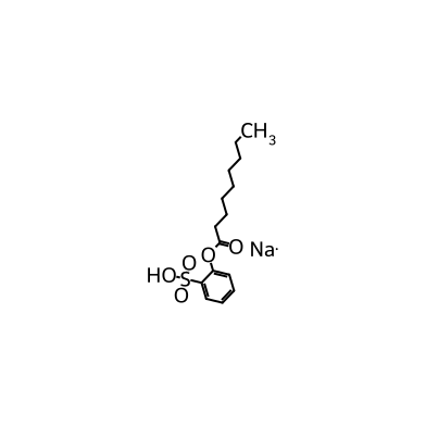 CCCCCCCCC(=O)Oc1ccccc1S(=O)(=O)O.[Na]